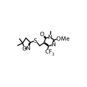 COc1nc(C(F)(F)F)c(CSC2=NOC(C)(C)C2)c(=O)n1C